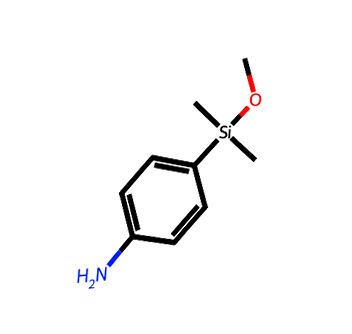 CO[Si](C)(C)c1ccc(N)cc1